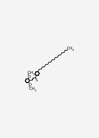 CCCCCCCCCCCCCCCCCCCc1ccc(C(=S)C=Cc2c(OCC)cccc2OCC)cc1